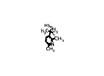 Cc1ccc(C(C)(C)SS)c(C)n1